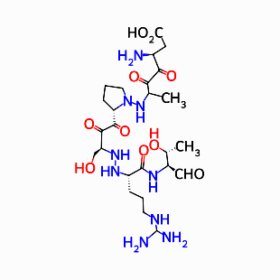 CC(NN1CCC[C@H]1C(=O)C(=O)[C@H](CO)NN[C@@H](CCCNC(N)N)C(=O)N[C@H](C=O)[C@@H](C)O)C(=O)C(=O)[C@@H](N)CC(=O)O